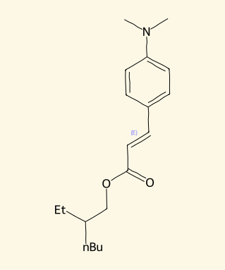 CCCCC(CC)COC(=O)/C=C/c1ccc(N(C)C)cc1